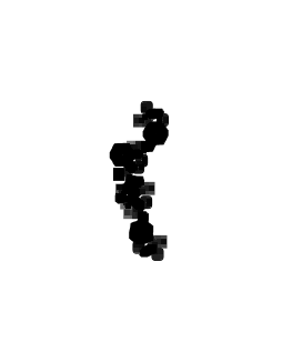 O=C1COc2ccc(CNC(=O)c3ccccc3C(=O)Nc3c[nH]c4c(C(=O)NCc5ccc6c(c5)NC(=O)CO6)ncnc34)cc2N1